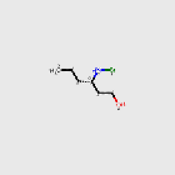 CCC[C@@H](CCO)NBr